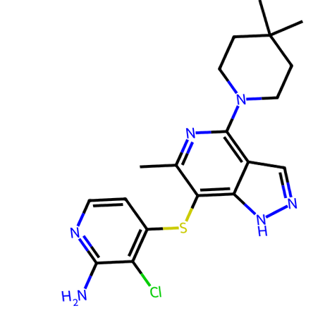 Cc1nc(N2CCC(C)(C)CC2)c2cn[nH]c2c1Sc1ccnc(N)c1Cl